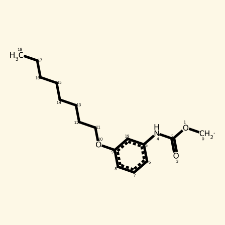 [CH2]OC(=O)Nc1cccc(OCCCCCCCC)c1